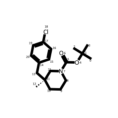 CC(C)(C)OC(=O)N1CCC[C@@](C)(Cc2ccc(Cl)cc2)C1